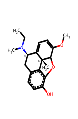 CCN(C)[C@@H]1Cc2ccc(O)c3c2[C@]2(C)C1=CC=C(OC)C2O3